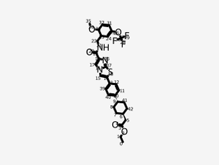 CCOC(=O)C[C@H]1CC[C@H](c2ccc(-c3cn4cc(C(=O)NCC5C=C(OC(F)(F)F)C=CC5OC)nc4s3)cc2)CC1